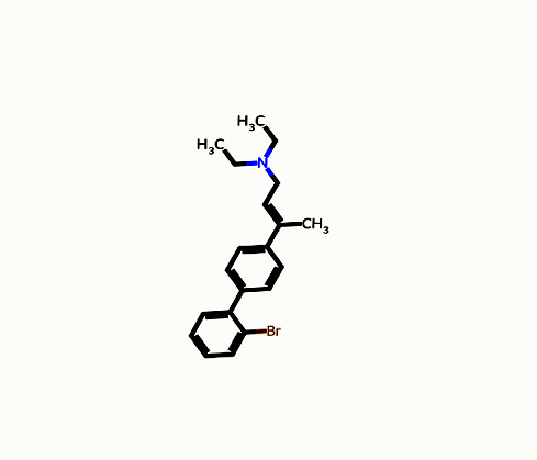 CCN(CC)CC=C(C)c1ccc(-c2ccccc2Br)cc1